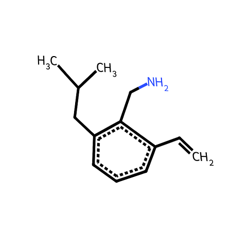 C=Cc1cccc(CC(C)C)c1CN